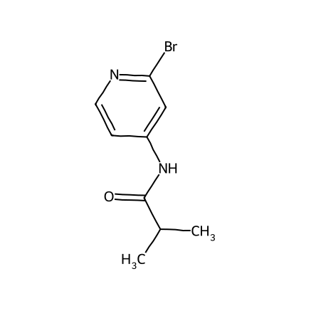 CC(C)C(=O)Nc1ccnc(Br)c1